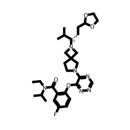 CCN(C(=O)c1cc(F)ccc1Oc1nncnc1N1CCC2(C1)CN([C@@H](CCC1OCCO1)C(C)C)C2)C(C)C